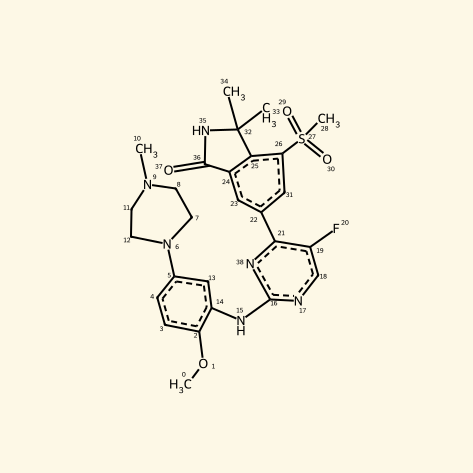 COc1ccc(N2CCN(C)CC2)cc1Nc1ncc(F)c(-c2cc3c(c(S(C)(=O)=O)c2)C(C)(C)NC3=O)n1